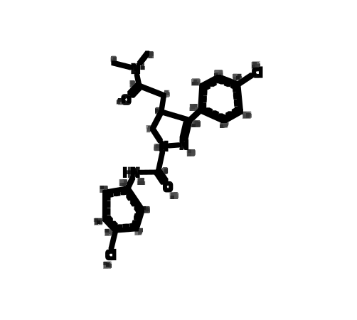 CN(C)C(=O)CC1CN(C(=O)Nc2ccc(Cl)cc2)N=C1c1ccc(Cl)cc1